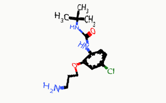 CC(C)(C)NC(=O)Nc1ccc(Cl)cc1OCCCN